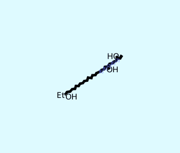 C=C/C(O)=C/C=C/C=C(O)/C=C/C=C/CCCCCCCCCCCCCCCC(O)CC